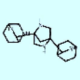 C1CC2CCC1NC2C12CNC(C3NC4CCC3NC4)(CN1)C2